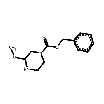 COC1CN(C(=O)OCc2ccccc2)CCN1